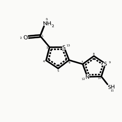 NC(=O)c1ccc(-c2csc(S)n2)s1